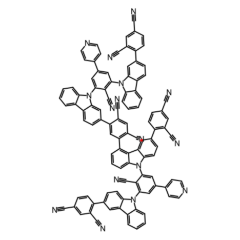 N#Cc1ccc(-c2ccc3c(c2)c2ccccc2n3-c2cc(-c3ccncc3)cc(-n3c4ccc(-c5ccc(C#N)cc5C#N)cc4c4c(-c5cc(-c6ccc7c8ccccc8n(-c8cc(-c9ccncc9)cc(-n9c%10ccccc%10c%10ccc(-c%11ccc(C#N)cc%11C#N)cc%109)c8C#N)c7c6)c(C#N)cc5C#N)cccc43)c2C#N)c(C#N)c1